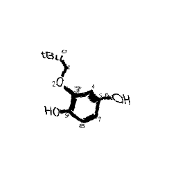 CC(C)(C)COc1cc(O)ccc1O